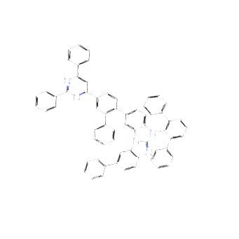 c1ccc(-c2ccc3nc4n(-c5c(-c6ccccc6)cccc5-c5ccccc5)c5ccc(-c6ccc(-c7cc(-c8ccccc8)nc(-c8ccccc8)n7)cc6-c6ccccc6)cc5n4c3c2)cc1